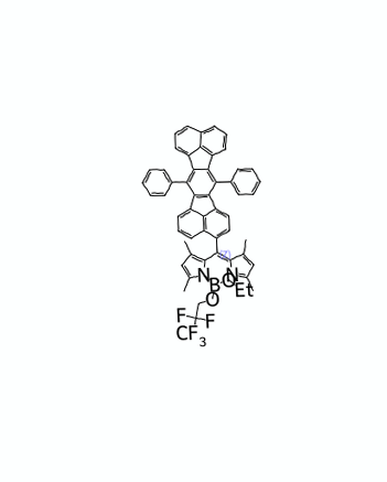 CCOB(OCC(F)(F)C(F)(F)F)n1c(C)cc(C)c1/C(=C1\N=C(C)C=C1C)c1ccc2c3c(-c4ccccc4)c4c5cccc6cccc(c4c(-c4ccccc4)c3c3cccc1c32)c65